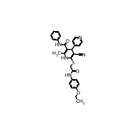 CCOc1ccc(NC(=O)CSC2=C(C#N)C(c3ccncc3)C(C(=O)Nc3ccccc3)=C(C)N2)cc1